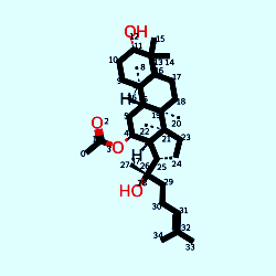 CC(=O)O[C@@H]1C[C@@H]2[C@@]3(C)CC[C@H](O)C(C)(C)C3CC[C@@]2(C)[C@@]2(C)CC[C@H]([C@@](C)(O)CCC=C(C)C)[C@@H]12